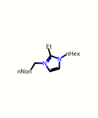 CCCCCCCCCC[n+]1ccn(CCCCCC)c1CC